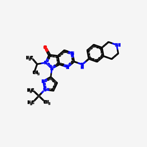 CC(C)n1c(=O)c2cnc(Nc3ccc4c(c3)CCNC4)nc2n1-c1ccn(C(C)(C)C)n1